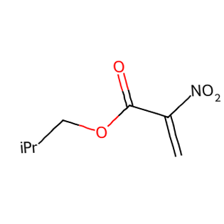 C=C(C(=O)OCC(C)C)[N+](=O)[O-]